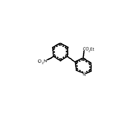 CCOC(=O)c1ccncc1-c1cccc([N+](=O)[O-])c1